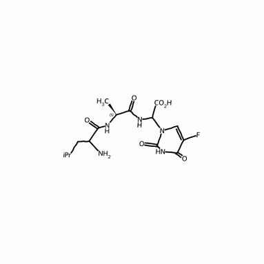 CC(C)CC(N)C(=O)N[C@@H](C)C(=O)NC(C(=O)O)n1cc(F)c(=O)[nH]c1=O